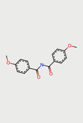 COc1ccc(C(=O)[N]C(=O)c2ccc(OC)cc2)cc1